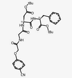 CC(C)(C)OC(=O)C[C@H](NC(=O)CNC(=O)COc1ccc(C#N)cc1)C(=O)N[C@@H](Cc1ccccc1)C(=O)OC(C)(C)C